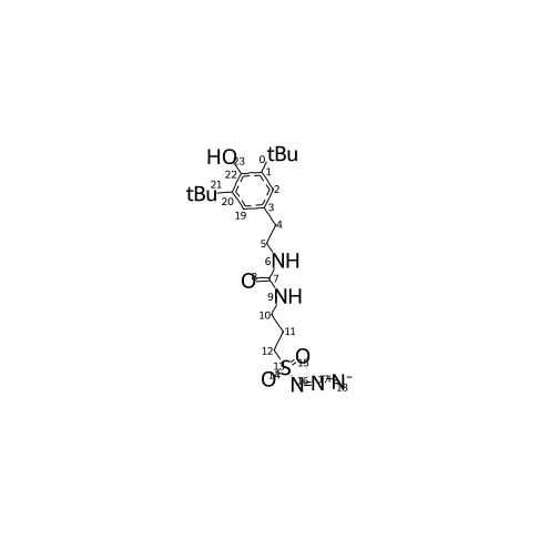 CC(C)(C)c1cc(CCNC(=O)NCCCS(=O)(=O)N=[N+]=[N-])cc(C(C)(C)C)c1O